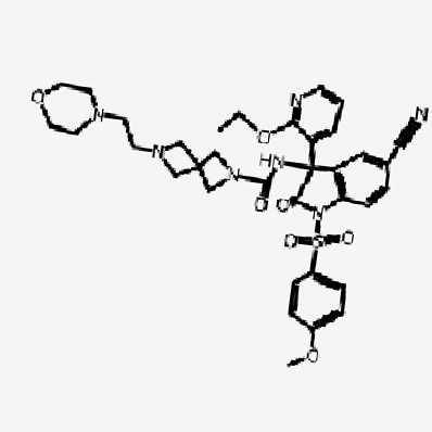 CCOc1ncccc1C1(NC(=O)N2CC3(CN(CCN4CCOCC4)C3)C2)C(=O)N(S(=O)(=O)c2ccc(OC)cc2)c2ccc(C#N)cc21